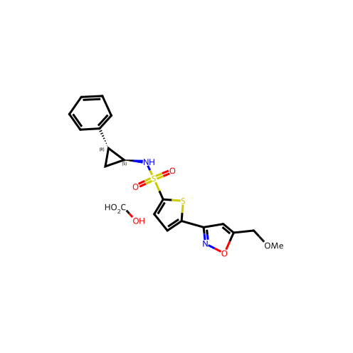 COCc1cc(-c2ccc(S(=O)(=O)N[C@H]3C[C@@H]3c3ccccc3)s2)no1.O=C(O)O